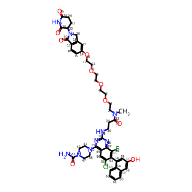 CN(CCOCCOCCOCCOc1ccc2c(c1)CN(C1CCC(=O)NC1=O)C2=O)C(=O)CCNc1nc(N2CCN(C(N)=O)CC2)c2cc(Cl)c(-c3cc(O)cc4ccccc34)c(F)c2n1